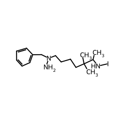 CC(NI)C(C)(C)CCCCN(N)Cc1ccccc1